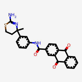 CC1(c2cccc(NC(=O)c3ccc4c(c3)C(=O)c3ccccc3C4=O)c2)CCSC(N)=N1